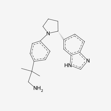 CC(C)(CN)c1ccc(N2CCC[C@@H]2c2ccc3nc[nH]c3c2)cc1